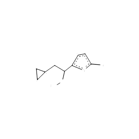 O=COC(CC1CC1)c1ccc(Br)[nH]1